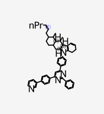 CCC/C=C\CC1CCC2C[C@H]3[C@H](C4=C(CCC=C4)N3c3ccc(-c4cc(-c5ccc(-c6cccnc6)cc5)nc(-c5ccccc5)n4)cc3)C(C)[C@@H]2C1C